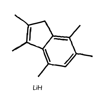 CC1=C(C)c2c(C)cc(C)c(C)c2C1.[LiH]